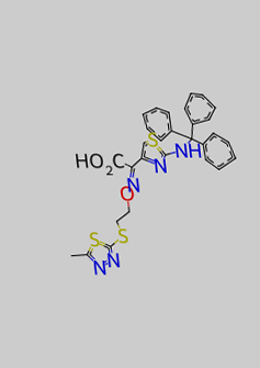 Cc1nnc(SCCON=C(C(=O)O)c2csc(NC(c3ccccc3)(c3ccccc3)c3ccccc3)n2)s1